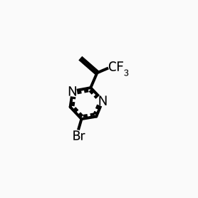 C=C(c1ncc(Br)cn1)C(F)(F)F